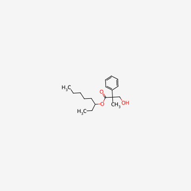 CCCCCC(CC)OC(=O)C(C)(CO)c1ccccc1